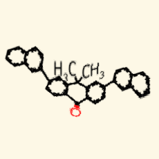 CC1(C)c2cc(-c3ccc4ccccc4c3)ccc2C(=O)c2ccc(-c3ccc4ccccc4c3)cc21